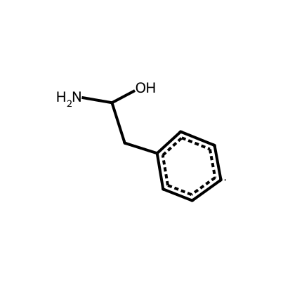 NC(O)Cc1cc[c]cc1